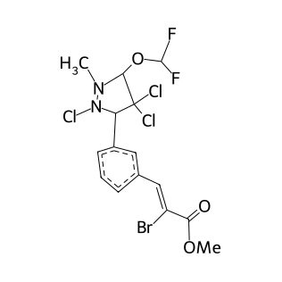 COC(=O)C(Br)=Cc1cccc(C2N(Cl)N(C)C(OC(F)F)C2(Cl)Cl)c1